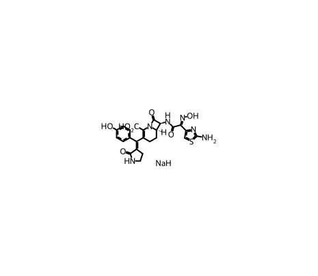 Nc1nc(C(=NO)C(=O)N[C@@H]2C(=O)N3C(C(=O)O)=C(C(=C4CCNC4=O)c4ccc(O)cc4)CC[C@H]23)cs1.[NaH]